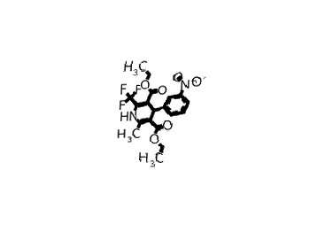 CCOC(=O)C1=C(C)NC(C(F)(F)F)=C(C(=O)OCC)C1c1cccc([N+](=O)[O-])c1